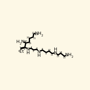 CC/C=C(\NCCCNCCCCNCCCN)C(N)CCCCN